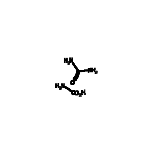 NC(=O)O.NC(N)=O